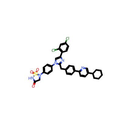 O=C1CN(c2ccc(-n3cc(-c4ccc(Cl)cc4Cl)nc3Cc3ccc(-c4ccc(C5CCCCC5)cn4)cc3)cc2)S(=O)(=O)N1